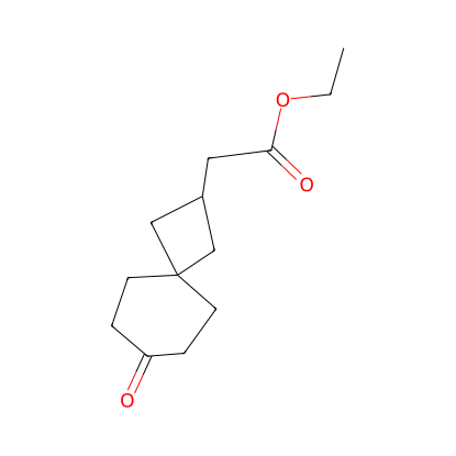 CCOC(=O)CC1CC2(CCC(=O)CC2)C1